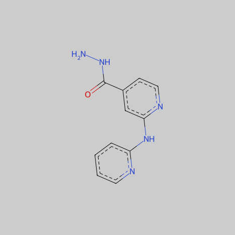 NNC(=O)c1ccnc(Nc2ccccn2)c1